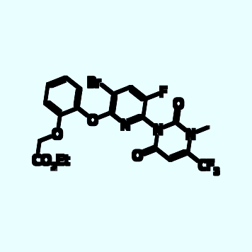 CCOC(=O)COc1ccccc1Oc1nc(-n2c(=O)cc(C(F)(F)F)n(C)c2=O)c(F)cc1Br